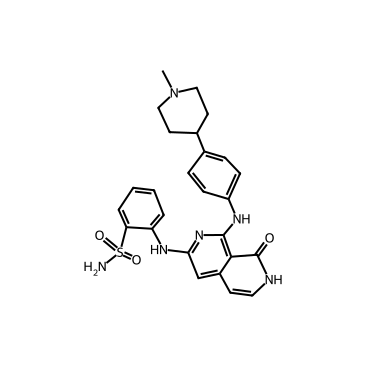 CN1CCC(c2ccc(Nc3nc(Nc4ccccc4S(N)(=O)=O)cc4cc[nH]c(=O)c34)cc2)CC1